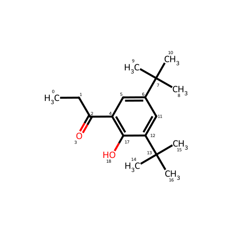 CCC(=O)c1cc(C(C)(C)C)cc(C(C)(C)C)c1O